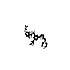 Cc1ccc(OCCN(C)C)cc1C(=O)N[C@H](C)c1cc(-c2cnn(C)c2)cc(-c2ccc(CN3CCOCC3)o2)c1